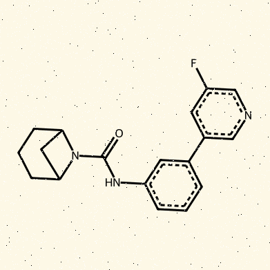 O=C(Nc1cccc(-c2cncc(F)c2)c1)N1C2CCCC1C2